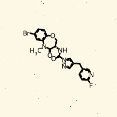 CN1C(=O)C(NC(=O)n2cc(Cc3ccc(F)nc3)cn2)COc2ccc(Br)cc21